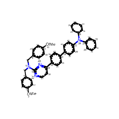 COc1ccc(CN(Cc2ccc(OC)cc2)c2nccc(-c3ccc(-c4ccc(N(c5ccccc5)c5ccccc5)cc4)cc3)n2)cc1